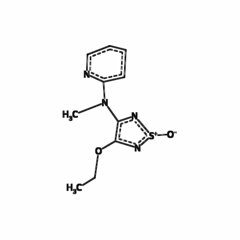 CCOc1n[s+]([O-])nc1N(C)c1ccccn1